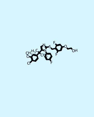 COc1cc(C(C)(C)c2cnc(SCc3c(F)cc(OCCO)cc3F)n2-c2ccc(F)cc2)ccc1Cl